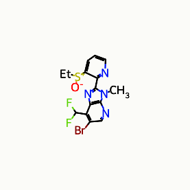 CC[S+]([O-])c1cccnc1-c1nc2c(C(F)F)c(Br)cnc2n1C